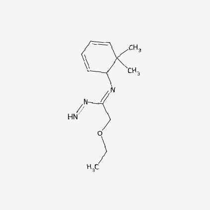 CCOCC(N=N)=NC1C=CC=CC1(C)C